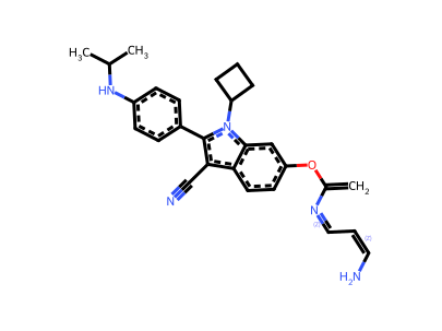 C=C(/N=C\C=C/N)Oc1ccc2c(C#N)c(-c3ccc(NC(C)C)cc3)n(C3CCC3)c2c1